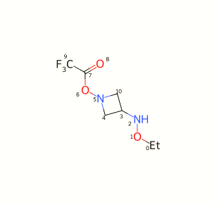 CCONC1CN(OC(=O)C(F)(F)F)C1